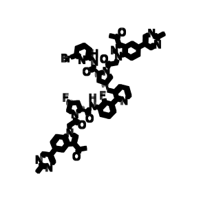 CC(=O)c1cn(CC(=O)N2C[C@H](F)C[C@H]2C(=O)Nc2cccc(-c3ncccc3C[C@@H]3C[C@@H](C(=O)Nc4cccc(Br)n4)N(C(=O)Cn4nc(C(C)=O)c5cc(-c6cnc(C)nc6)ccc54)C3)c2F)c2ccc(-c3cnc(C)nc3)cc12